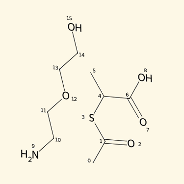 CC(=O)SC(C)C(=O)O.NCCOCCO